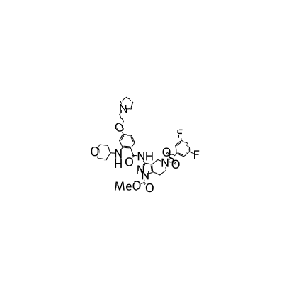 COC(=O)n1nc(NC(=O)c2ccc(OCCN3CCCC3)cc2NC2CCOCC2)c2c1CCN(S(=O)(=O)c1cc(F)cc(F)c1)C2